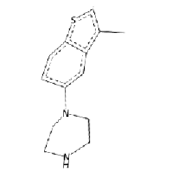 Cc1[c]sc2ccc(N3CCNCC3)cc12